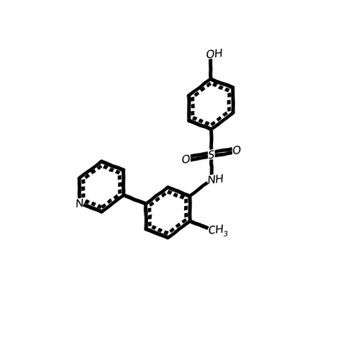 Cc1ccc(-c2cccnc2)cc1NS(=O)(=O)c1ccc(O)cc1